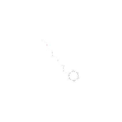 CCOCCOSNCc1ccccc1